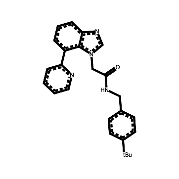 CC(C)(C)c1ccc(CNC(=O)Cn2cnc3cccc(-c4ccccn4)c32)cc1